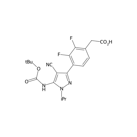 CC(C)n1nc(-c2ccc(CC(=O)O)c(F)c2F)c(C#N)c1NC(=O)OC(C)(C)C